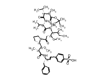 CC[C@H](C)[C@@H]([C@@H](CC(=O)N1CCC[C@H]1[C@H](OC)[C@@H](C)C(=O)N[C@H](C=Cc1ccc(S(=O)(=O)O)cc1)Cc1ccccc1)OC)N(C)C(=O)[C@@H](NC(=O)[C@H](C(C)C)N(C)C(=O)OC(C)(C)C)C(C)C